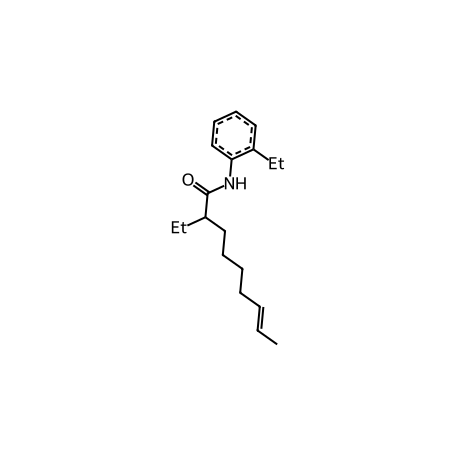 CC=CCCCCC(CC)C(=O)Nc1ccccc1CC